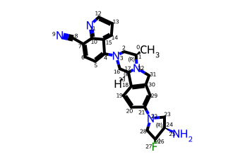 C[C@@H]1CN(c2ccc(C#N)c3ncccc23)C[C@@H]2c3ccc(N4C[C@@H](N)[C@@H](F)C4)cc3CN12